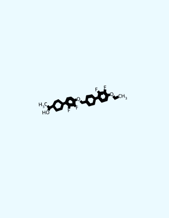 CCOc1ccc(C2C=CC(COc3ccc(C4CCC(C(C)O)CC4)c(F)c3F)=CC2)c(F)c1F